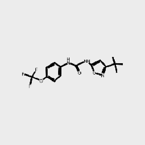 CC(C)(C)c1cc(NC(=O)Nc2ccc(OC(F)(F)F)cc2)on1